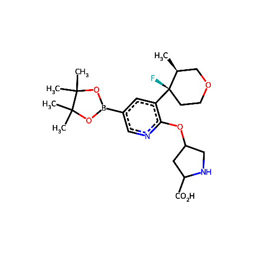 C[C@H]1COCC[C@]1(F)c1cc(B2OC(C)(C)C(C)(C)O2)cnc1OC1CNC(C(=O)O)C1